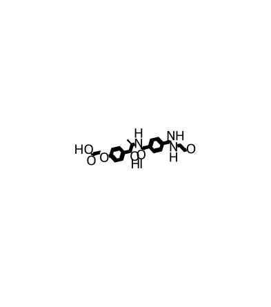 COCCNC(=N)c1ccc(C(=O)N[C@H](C)C(=O)c2ccc(OCC(=O)O)cc2)cc1.I